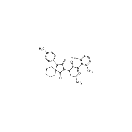 Cc1ccc(N2C(=O)N(C(CC(N)=O)C(=O)Nc3c(C)cccc3C(C)(C)C)C(=O)C23CCCCC3)cc1